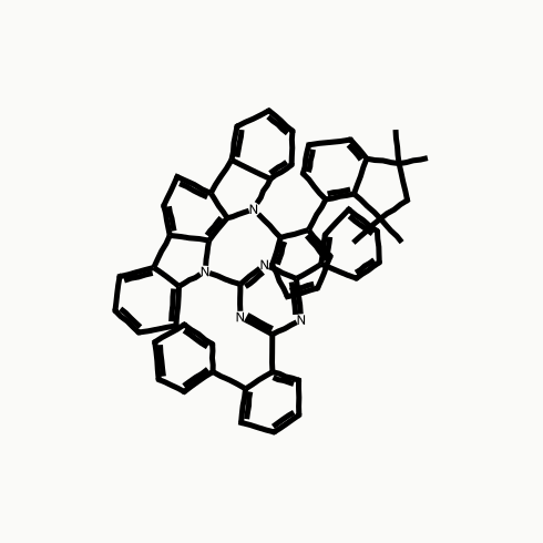 CC1(C)CC(C)(C)c2c(-c3ccccc3-n3c4ccccc4c4ccc5c6ccccc6n(-c6nc(-c7ccccc7)nc(-c7ccccc7-c7ccccc7)n6)c5c43)cccc21